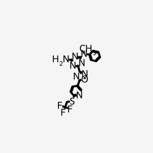 CN(c1ccccc1)c1nc(N)nc(-c2noc(-c3ccc(SCC(F)(F)F)nc3)n2)n1